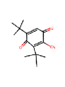 CC(C)(C)C1=CC(=O)C(O)=C(C(C)(C)C)C1=O